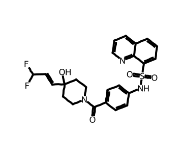 O=C(c1ccc(NS(=O)(=O)c2cccc3cccnc23)cc1)N1CCC(O)(C=CC(F)F)CC1